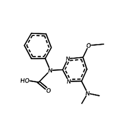 COc1cc(N(C)C)nc(N(C(=O)O)c2ccccc2)n1